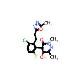 Cc1nnc(CCc2c(Cl)ccc(F)c2-c2c(O)c(C)nn(C)c2=O)o1